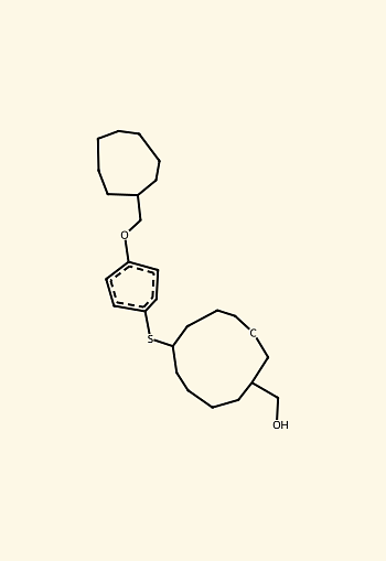 OCC1CCCCCC(Sc2ccc(OCC3CCCCCCC3)cc2)CCCC1